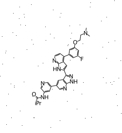 CC(C)C(=O)Nc1cncc(-c2cnc3[nH]nc(-c4cc5c(-c6cc(F)cc(OCCN(C)C)c6)ccnc5[nH]4)c3c2)c1